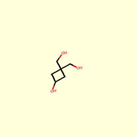 OCC1(CO)CC(O)C1